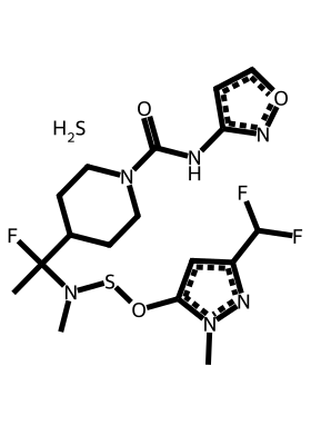 CN(SOc1cc(C(F)F)nn1C)C(C)(F)C1CCN(C(=O)Nc2ccon2)CC1.S